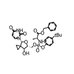 C[C@H](NP(=O)(OC[C@H]1O[C@@H](n2ccc(=O)[nH]c2=O)C2(CC2)[C@@H]1O)Oc1ccc(C(C)(C)C)cc1)C(=O)OCc1ccccc1